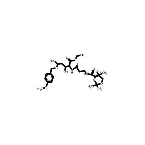 CCSC(=O)C(NC(=O)CCNC(=O)C1OC(C)(C)OCC1(C)C)C(O)CC(C)OCc1ccc(OC)cc1